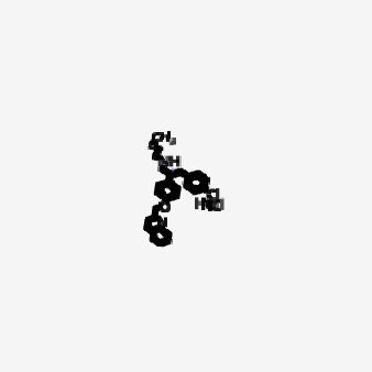 COCCNC/C(=C/c1ccc(Cl)cc1)c1ccc(OCc2ccc3ccccc3n2)cc1.Cl.Cl